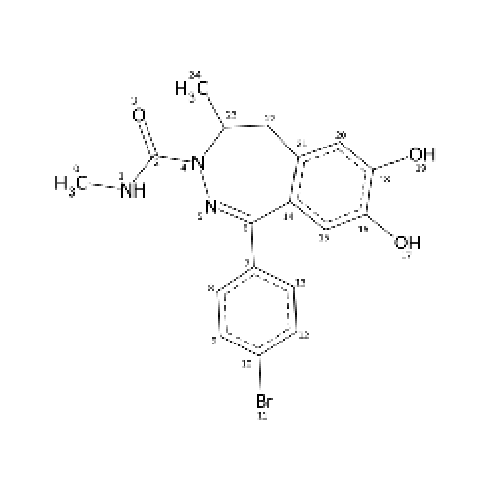 CNC(=O)N1N=C(c2ccc(Br)cc2)c2cc(O)c(O)cc2CC1C